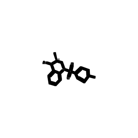 CC(=O)N1c2ccccc2N(S(=O)(=O)c2ccc(C)cc2)C[C@@H]1C